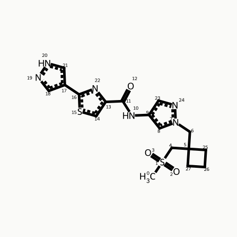 CS(=O)(=O)CC1(Cn2cc(NC(=O)c3csc(-c4cn[nH]c4)n3)cn2)CCC1